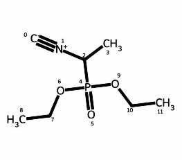 [C-]#[N+]C(C)P(=O)(OCC)OCC